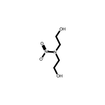 O=[N+]([O-])N(CCO)CCO